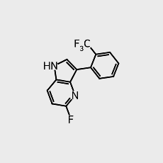 Fc1ccc2[nH]cc(-c3ccccc3C(F)(F)F)c2n1